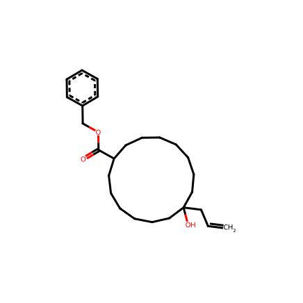 C=CCC1(O)CCCCCCCC(C(=O)OCc2ccccc2)CCCCCC1